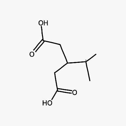 C[C](C)C(CC(=O)O)CC(=O)O